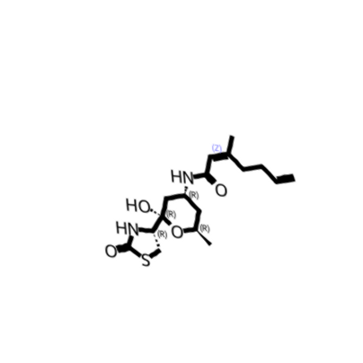 C=CCC/C(C)=C\C(=O)N[C@@H]1C[C@@H](C)O[C@@](O)([C@@H]2CSC(=O)N2)C1